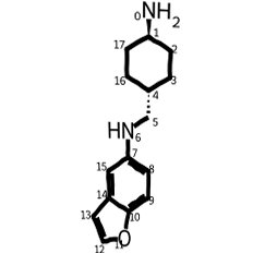 N[C@H]1CC[C@H](CNc2ccc3occc3c2)CC1